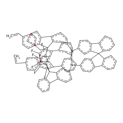 C=Cc1ccc(CC23c4ccccc4-c4ccc(cc42)N(c2ccc4c(c2)C2(c5ccccc5-4)c4ccccc4-c4ccc(N5c6cccc(c6)-c6c(F)c(F)c(F)c(c6F)C6(Cc7ccc(C=C)cc7)c7ccccc7-c7ccc5cc76)cc42)c2cccc(c2)-c2c(F)c(F)c(F)c3c2F)cc1